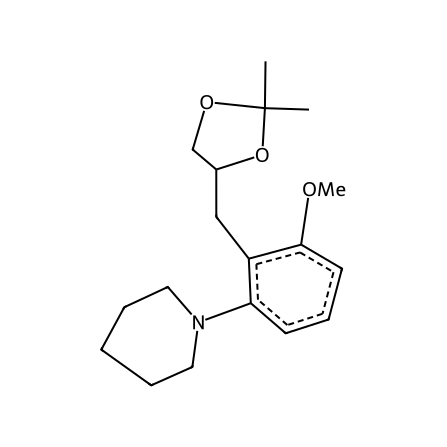 COc1cccc(N2CCCCC2)c1CC1COC(C)(C)O1